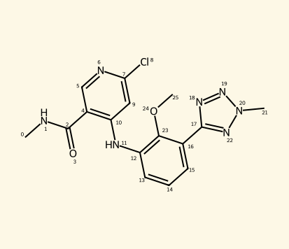 CNC(=O)c1cnc(Cl)cc1Nc1cccc(-c2nnn(C)n2)c1OC